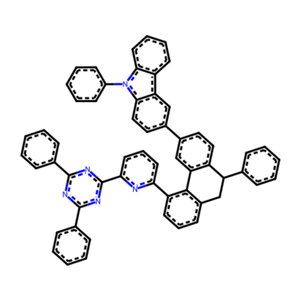 c1ccc(-c2nc(-c3ccccc3)nc(-c3cccc(-c4cccc5c4-c4cc(-c6ccc7c(c6)c6ccccc6n7-c6ccccc6)ccc4C(c4ccccc4)C5)n3)n2)cc1